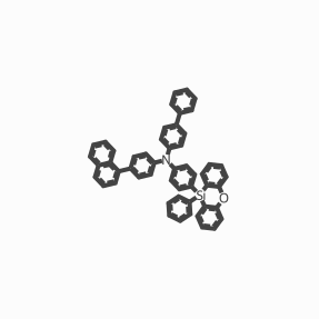 c1ccc(-c2ccc(N(c3ccc(-c4cccc5ccccc45)cc3)c3ccc([Si]4(c5ccccc5)c5ccccc5Oc5ccccc54)cc3)cc2)cc1